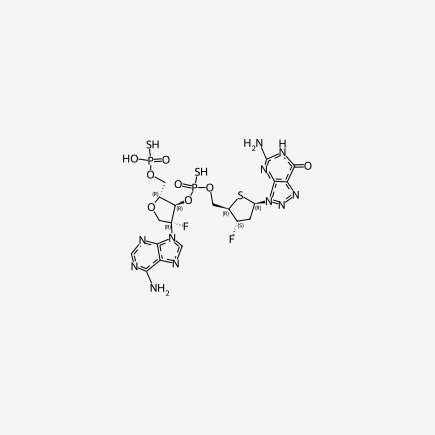 Nc1nc2c(nnn2[C@H]2C[C@H](F)[C@@H](COP(=O)(S)O[C@@H]3[C@@H](COP(=O)(O)S)OC[C@]3(F)n3cnc4c(N)ncnc43)S2)c(=O)[nH]1